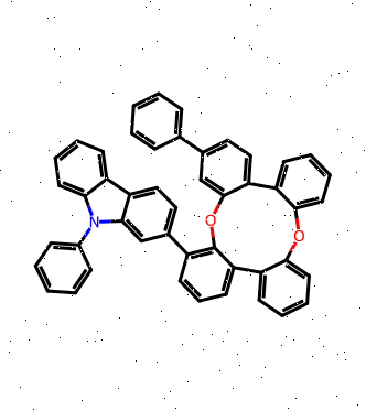 c1ccc(-c2ccc3c(c2)Oc2c(-c4ccc5c6ccccc6n(-c6ccccc6)c5c4)cccc2-c2ccccc2Oc2ccccc2-3)cc1